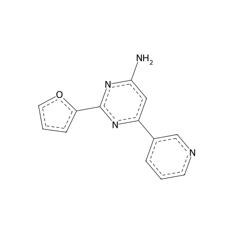 Nc1cc(-c2cccnc2)nc(-c2ccco2)n1